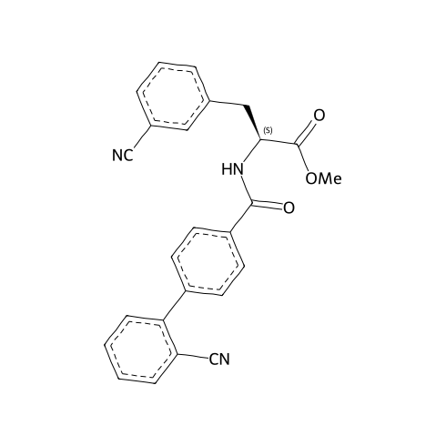 COC(=O)[C@H](Cc1cccc(C#N)c1)NC(=O)c1ccc(-c2ccccc2C#N)cc1